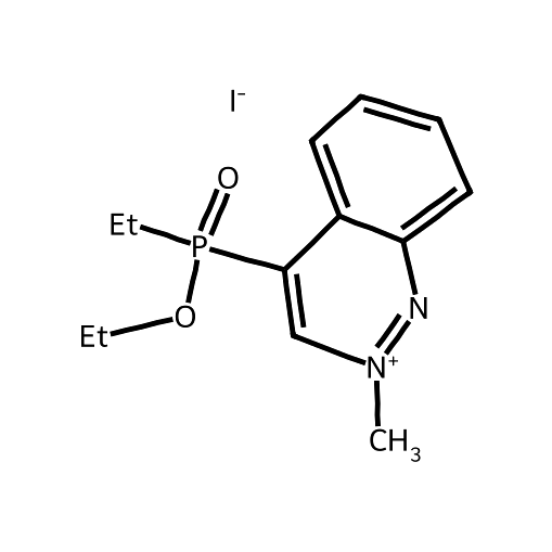 CCOP(=O)(CC)c1c[n+](C)nc2ccccc12.[I-]